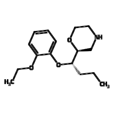 CCC[C@H](Oc1ccccc1OCC)[C@@H]1CNCCO1